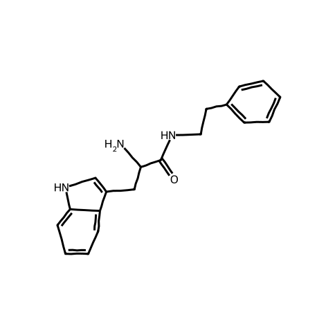 NC(Cc1c[nH]c2ccccc12)C(=O)NCCc1ccccc1